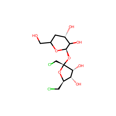 OCC1C[C@H](O)C(O)[C@@H](O[C@@]2(CCl)O[C@H](CCl)[C@@H](O)[C@H]2O)O1